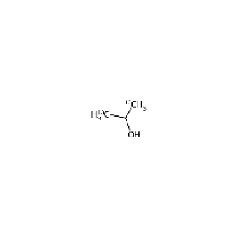 [13CH3]C([13CH3])O